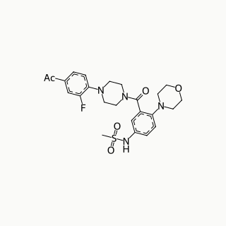 CC(=O)c1ccc(N2CCN(C(=O)c3cc(NS(C)(=O)=O)ccc3N3CCOCC3)CC2)c(F)c1